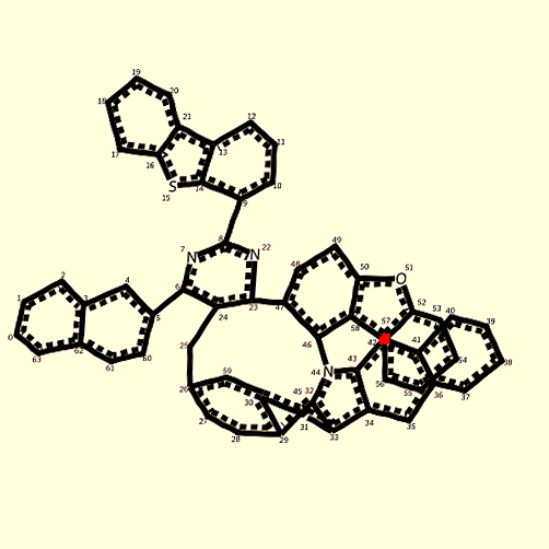 c1ccc2cc(-c3nc(-c4cccc5c4sc4ccccc45)nc4c3Cc3ccc5c(ccc6c7cc8ccccc8cc7n(c56)-c5c-4ccc4oc6ccccc6c54)c3)ccc2c1